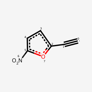 [C]#Cc1ccc([N+](=O)[O-])o1